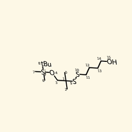 CC(C)(CO[Si](C)(C)C(C)(C)C)SSCCCCO